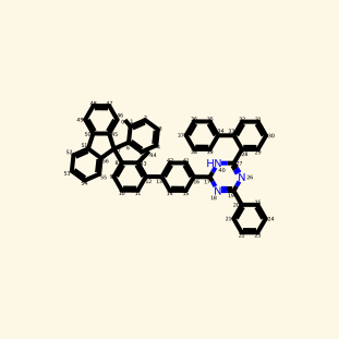 Cc1ccccc1C1(c2cccc(-c3ccc(C4N=C(c5ccccc5)N=C(c5ccccc5-c5ccccc5)N4)cc3)c2C)c2ccccc2-c2ccccc21